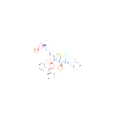 CN1OC(=O)CC1/C=C/C1=C(C(=O)OC(c2ccccc2)c2ccccc2)N2C(=O)C(NCc3ccccc3)C2SC1